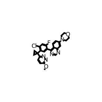 COc1ccc(C2(c3cc(-c4ncnc5cc(N6CCOCC6)ccc45)c(F)cc3Cl)CC2)nn1